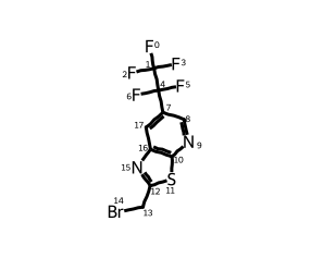 FC(F)(F)C(F)(F)c1cnc2sc(CBr)nc2c1